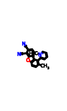 Cc1ccc2oc3c(C#N)c(C#N)ccc3c2c1-c1cccc[n+]1C